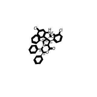 O=C1O[C@@H](c2ccccc2)[C@@H](c2ccccc2)N2C1[C@H](c1cccc(Cl)c1F)[C@@]1(C(=O)Nc3cc(Cl)ccc31)[C@H]2c1ccccc1